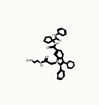 CC(=O)NCCNC(=O)Cn1c(-c2ccccc2)c(C2CCCCC2)c2ccc(C(=O)NC3(C(=O)Nc4[c]cccc4)CCCC3)cc21